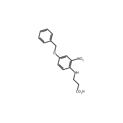 O=C(O)CCNc1ccc(OCc2ccccc2)cc1[N+](=O)[O-]